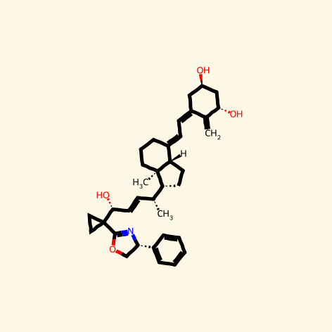 C=C1/C(=C\C=C2/CCC[C@]3(C)[C@@H]([C@H](C)/C=C/[C@@H](O)C4(C5=N[C@H](c6ccccc6)CO5)CC4)CC[C@@H]23)C[C@@H](O)C[C@@H]1O